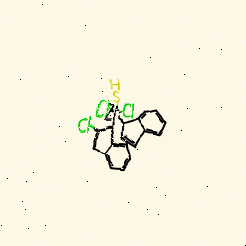 [SH][Zr]([Cl])([Cl])([CH]1C=Cc2ccccc21)[CH]1C(Cl)=Cc2ccccc21